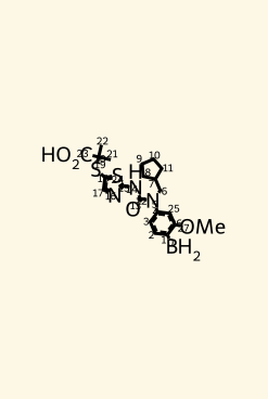 Bc1ccc(N(CC2CCCC2)C(=O)Nc2ncc(SC(C)(C)C(=O)O)s2)cc1OC